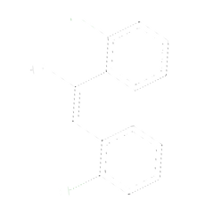 O=C/C(=C/c1ccccc1Cl)c1ccccc1Cl